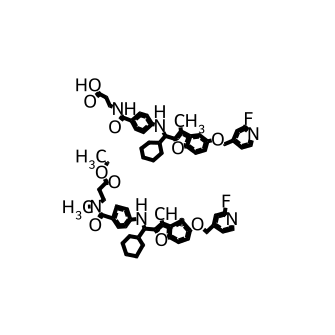 CCOC(=O)CCN(C)C(=O)c1ccc(NC(c2oc3ccc(OCc4ccnc(F)c4)cc3c2C)C2CCCCC2)cc1.Cc1c(C(Nc2ccc(C(=O)NCCC(=O)O)cc2)C2CCCCC2)oc2ccc(OCc3ccnc(F)c3)cc12